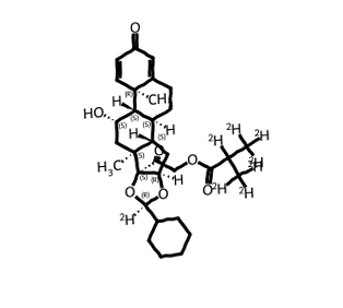 [2H]C([2H])([2H])C([2H])(C(=O)OCC(=O)[C@@]12O[C@]([2H])(C3CCCCC3)O[C@@H]1C[C@H]1[C@@H]3CCC4=CC(=O)C=C[C@]4(C)[C@H]3[C@@H](O)C[C@@]12C)C([2H])([2H])[2H]